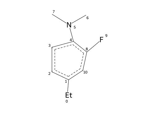 CCc1ccc(N(C)C)c(F)c1